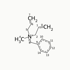 C=CC[N+](C)(CC=C)Cc1ccccc1